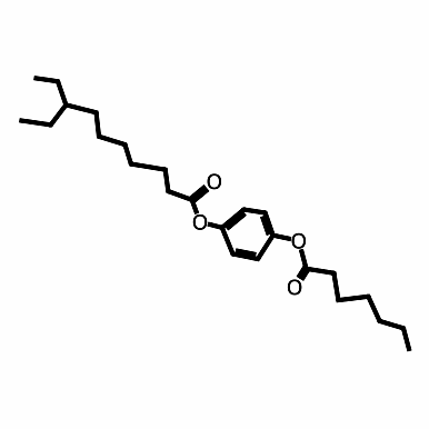 CCCCCCC(=O)Oc1ccc(OC(=O)CCCCCCC(CC)CC)cc1